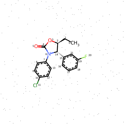 CC[C@@H]1OC(=O)N(c2ccc(Cl)cc2)[C@H]1c1cccc(F)c1